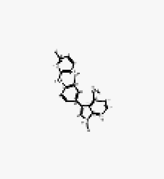 Cc1ccnc(Oc2ccc(-c3cn(C)c4ncnc(N)c34)cc2F)n1